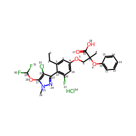 CCc1cc(OCC(C)(Oc2ccccc2)C(=O)O)cc(F)c1-c1nn(C)c(OC(F)F)c1Cl.Cl